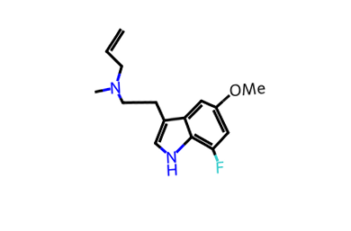 C=CCN(C)CCc1c[nH]c2c(F)cc(OC)cc12